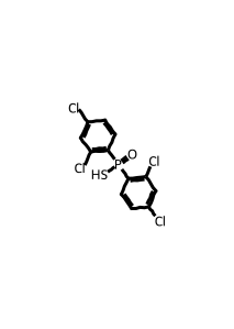 O=P(S)(c1ccc(Cl)cc1Cl)c1ccc(Cl)cc1Cl